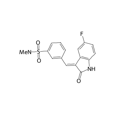 CNS(=O)(=O)c1cccc(/C=C2/C(=O)Nc3ccc(F)cc32)c1